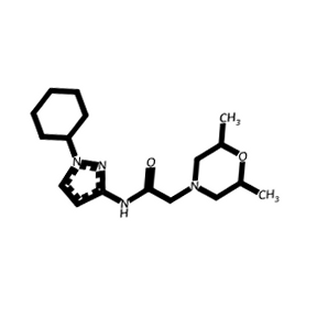 CC1CN(CC(=O)Nc2ccn(C3CCCCC3)n2)CC(C)O1